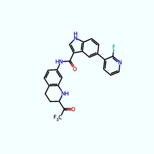 O=C(Nc1ccc2c(c1)NC(C(=O)C(F)(F)F)CC2)c1c[nH]c2ccc(-c3cccnc3F)cc12